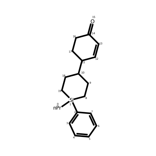 CCC[Si]1(c2ccccc2)CCC(C2C=CC(=O)CC2)CC1